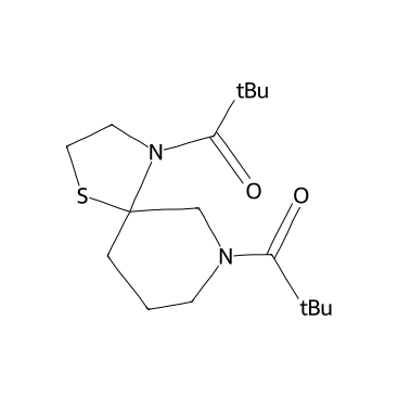 CC(C)(C)C(=O)N1CCCC2(C1)SCCN2C(=O)C(C)(C)C